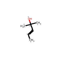 C/C=C/C(C)(C)O